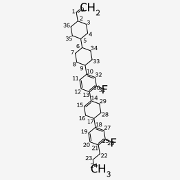 C=CC1CCC(C2CCC(c3ccc(C4=CCC(c5ccc(CCC)c(F)c5)CC4)c(F)c3)CC2)CC1